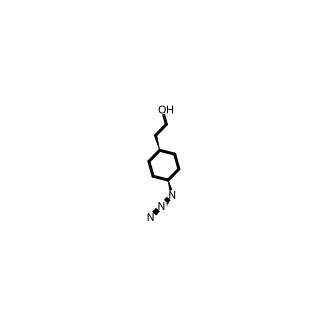 [N-]=[N+]=N[C@H]1CC[C@@H](CCO)CC1